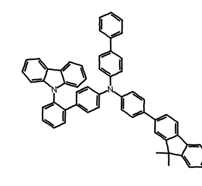 CC1(C)c2ccccc2-c2ccc(-c3ccc(N(c4ccc(-c5ccccc5)cc4)c4ccc(-c5ccccc5-n5c6ccccc6c6ccccc65)cc4)cc3)cc21